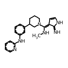 CN/C(=C1/C=CNC1=N)N1CCCC(c2cccc(Nc3ccccn3)c2)C1